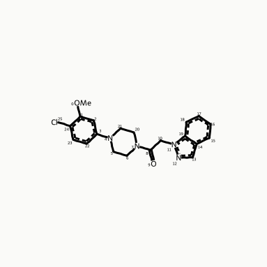 COc1cc(N2CCN(C(=O)Cn3ncc4ccccc43)CC2)ccc1Cl